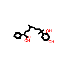 CC(CCCC(C)(C)c1ccc(O)cc1O)CCC(C(=O)O)c1ccccc1